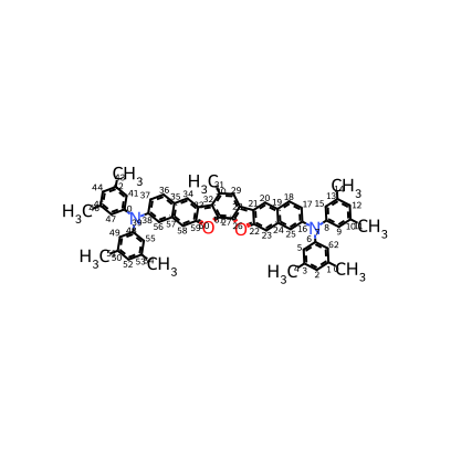 Cc1cc(C)cc(N(c2cc(C)cc(C)c2)c2ccc3cc4c(cc3c2)oc2c4cc(C)c3c4cc5ccc(N(c6cc(C)cc(C)c6)c6cc(C)cc(C)c6)cc5cc4oc23)c1